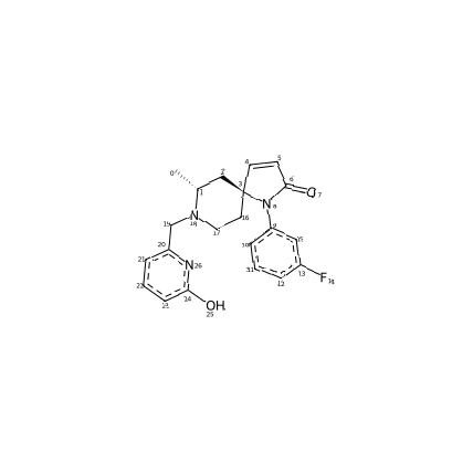 C[C@@H]1C[C@]2(C=CC(=O)N2c2cccc(F)c2)CCN1Cc1cccc(O)n1